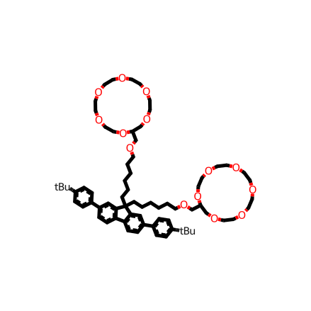 CC(C)(C)c1ccc(-c2ccc3c(c2)C(CCCCCCOCC2COCCOCCOCCOCCOCCO2)(CCCCCCOCC2COCCOCCOCCOCCOCCO2)c2cc(-c4ccc(C(C)(C)C)cc4)ccc2-3)cc1